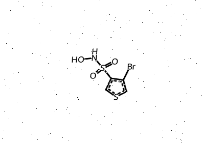 O=S(=O)(NO)c1cscc1Br